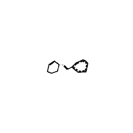 C1=C[C@H](/C=C/c2ccccc2)CCC1